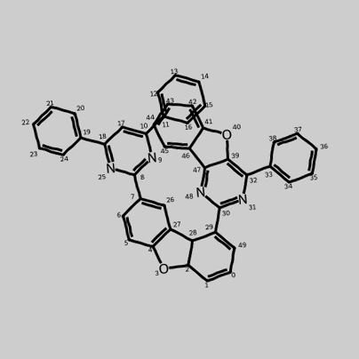 C1=CC2Oc3ccc(-c4nc(-c5ccccc5)cc(-c5ccccc5)n4)cc3C2C(c2nc(-c3ccccc3)c3oc4ccccc4c3n2)=C1